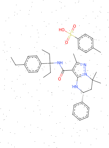 CCc1ccc(C(CC)(CC)NC(=O)c2c(C)nn3c2N[C@@H](c2ccccc2)CC3(C)C)cc1.Cc1ccc(S(=O)(=O)O)cc1